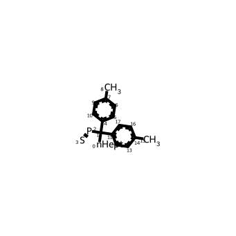 CCCCCCCC(P=S)(c1ccc(C)cc1)c1ccc(C)cc1